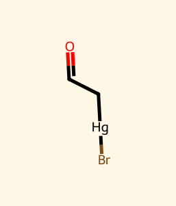 O=C[CH2][Hg][Br]